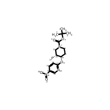 CC(C)(C)OC(=O)N1CC[C@H](Oc2ccc([N+](=O)[O-])cn2)[C@H](F)C1